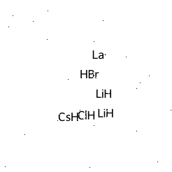 Br.Cl.[CsH].[La].[LiH].[LiH]